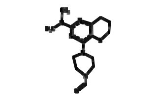 CN(C)c1nc2c(c(N3CCN(C=O)CC3)n1)SCCC2